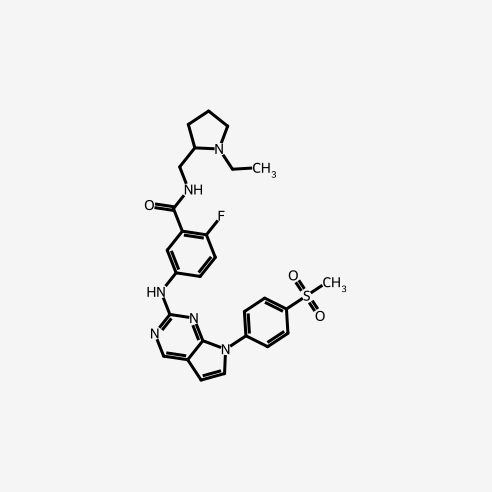 CCN1CCCC1CNC(=O)c1cc(Nc2ncc3ccn(-c4ccc(S(C)(=O)=O)cc4)c3n2)ccc1F